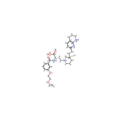 COCCOc1cccc(C(=O)N[C@@H](CCN2CCC[C@@](F)(CCc3ccc4c(n3)NCCC4)C2)C(=O)O)c1